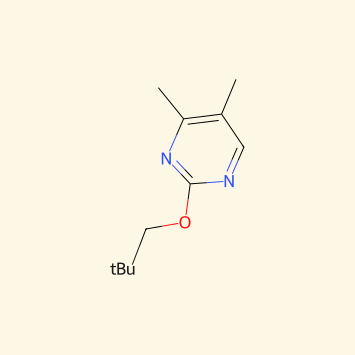 Cc1cnc(OCC(C)(C)C)nc1C